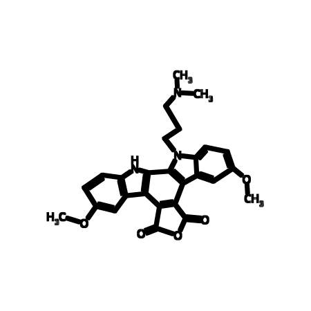 COc1ccc2[nH]c3c(c4c(c5c6cc(OC)ccc6n(CCCN(C)C)c35)C(=O)OC4=O)c2c1